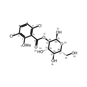 COc1c(Cl)ccc(Cl)c1C(=O)O[C@@H]1[C@@H](O)[C@H](O)[C@@H](CO)O[C@@H]1O